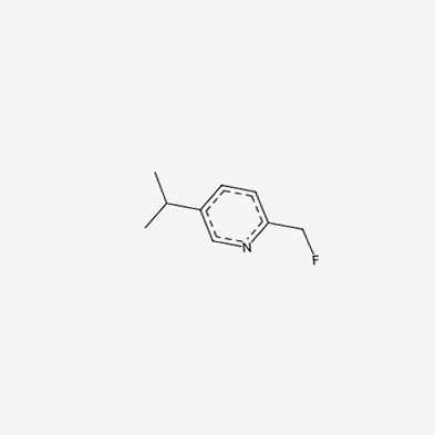 CC(C)c1ccc(CF)nc1